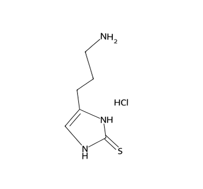 Cl.NCCCc1c[nH]c(=S)[nH]1